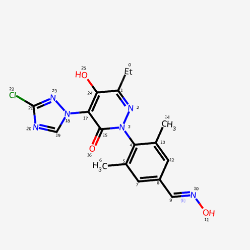 CCc1nn(-c2c(C)cc(/C=N/O)cc2C)c(=O)c(-n2cnc(Cl)n2)c1O